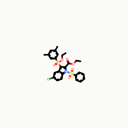 CCOC(=O)c1c(P(=O)(OCC)c2cc(C)cc(C)c2)c2cc(Cl)ccc2n1S(=O)(=O)c1ccccc1